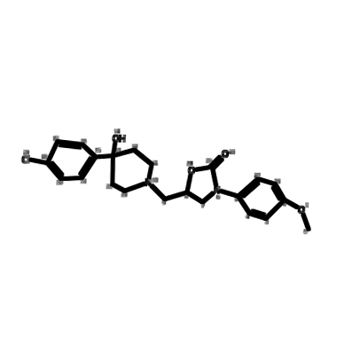 COc1ccc(N2CC(CN3CCC(O)(c4ccc(Cl)cc4)CC3)OC2=O)cc1